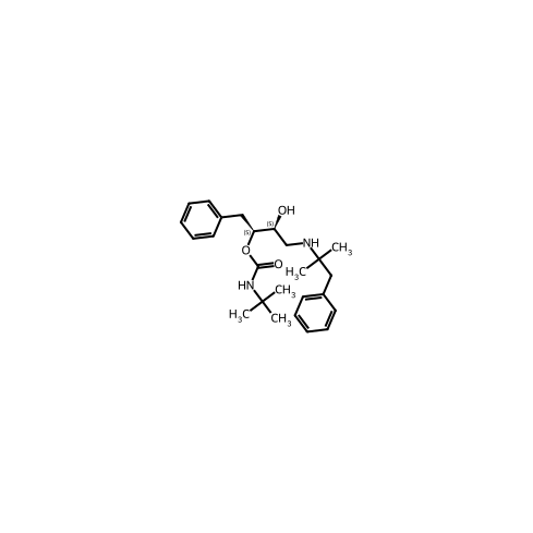 CC(C)(C)NC(=O)O[C@@H](Cc1ccccc1)[C@@H](O)CNC(C)(C)Cc1ccccc1